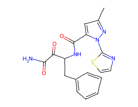 Cc1cc(C(=O)NC(Cc2ccccc2)C(=O)C(N)=O)n(-c2nccs2)n1